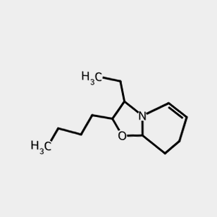 CCCCC1OC2CCC=CN2C1CC